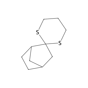 C1CSC2(CC3CCC2C3)SC1